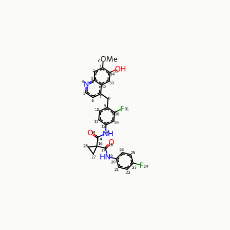 COc1cc2nccc(Cc3ccc(NC(=O)C4(C(=O)Nc5ccc(F)cc5)CC4)cc3F)c2cc1O